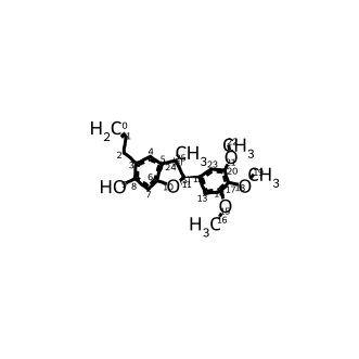 C=CCc1cc2c(cc1O)O[C@H](c1cc(OC)c(OC)c(OC)c1)[C@H]2C